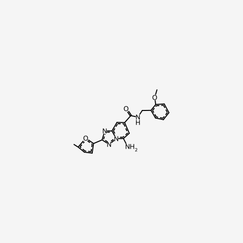 COc1ccccc1CNC(=O)c1cc(N)n2nc(-c3ccc(C)o3)nc2c1